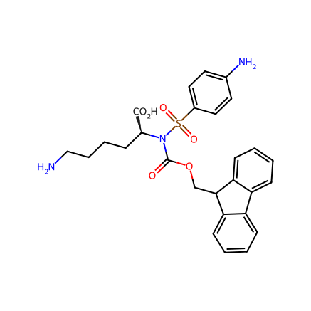 NCCCC[C@@H](C(=O)O)N(C(=O)OCC1c2ccccc2-c2ccccc21)S(=O)(=O)c1ccc(N)cc1